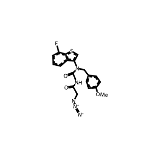 COc1ccc(CN(C(=O)NC(=O)CN=[N+]=[N-])c2csc3c(F)cccc23)cc1